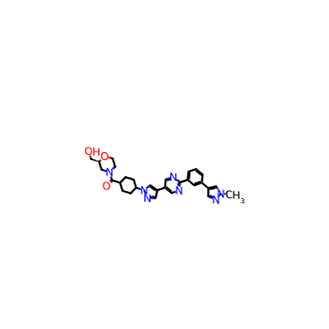 Cn1cc(-c2cccc(-c3ncc(-c4cnn(C5CCC(C(=O)N6CCO[C@H](CO)C6)CC5)c4)cn3)c2)cn1